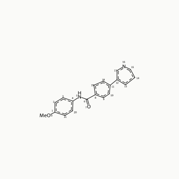 COc1ccc(NC(=O)c2ccc(-c3cccnc3)cc2)cc1